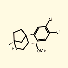 COC[C@@H]1CN[C@H]2CC[C@]1(c1ccc(Cl)c(Cl)c1)C2